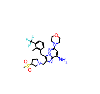 Cc1c(Cc2c(CN3CCC(S(C)(=O)=O)C3)nc3c(N)cc(N4CCOCC4)nn23)cccc1C(F)(F)F